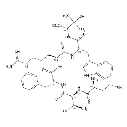 C[C@@H](O)[C@H](NC(=O)[C@@H](N)CCS)C(=O)N[C@H](Cc1ccccc1)C(=O)N[C@@H](CCCNC(=N)N)C(=O)N[C@@H](Cc1c[nH]c2ccccc12)C(=O)N[C@H](C(=O)O)C(C)(C)S